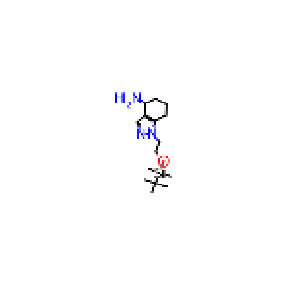 CC(C)(C)[Si](C)(C)OCCn1ncc2c1CCCC2N